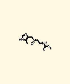 CSC(=S)NCC[S+]([O-])Cc1nc[nH]c1C